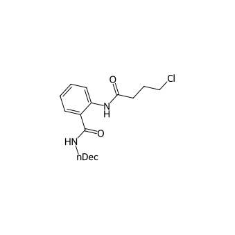 CCCCCCCCCCNC(=O)c1ccccc1NC(=O)CCCCl